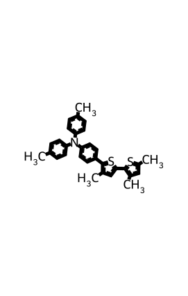 Cc1ccc(N(c2ccc(C)cc2)c2ccc(-c3sc(-c4sc(C)cc4C)cc3C)cc2)cc1